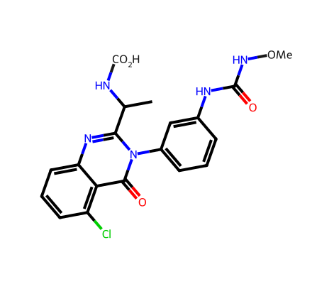 CONC(=O)Nc1cccc(-n2c(C(C)NC(=O)O)nc3cccc(Cl)c3c2=O)c1